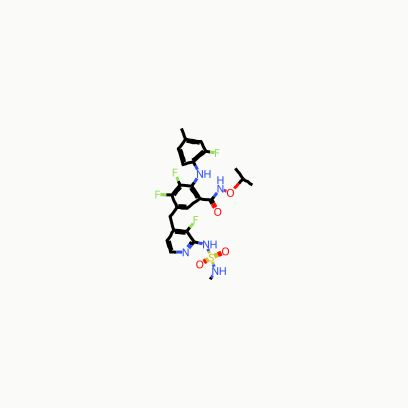 CNS(=O)(=O)Nc1nccc(Cc2cc(C(=O)NOC(C)C)c(Nc3ccc(C)cc3F)c(F)c2F)c1F